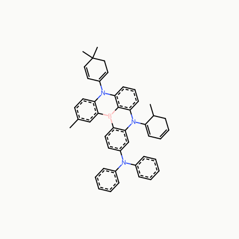 Cc1ccc2c(c1)B1c3ccc(N(c4ccccc4)c4ccccc4)cc3N(C3=CC=CCC3C)c3cccc(c31)N2C1=CCC(C)(C)C=C1